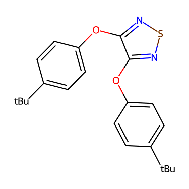 CC(C)(C)c1ccc(Oc2nsnc2Oc2ccc(C(C)(C)C)cc2)cc1